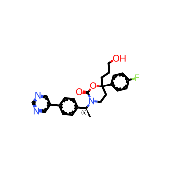 C[C@@H](c1ccc(-c2cncnc2)cc1)N1CCC(CCCO)(c2ccc(F)cc2)OC1=O